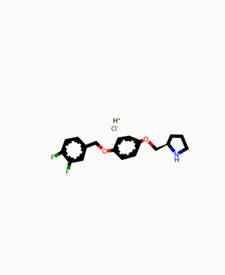 Fc1ccc(COc2ccc(OC[C@H]3CCCN3)cc2)cc1F.[Cl-].[H+]